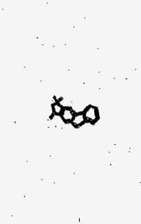 CC1=CC(C)(C)c2cc3c(cc21)Cc1ccccc1-3